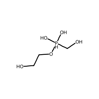 OCCO[PH](O)(O)CO